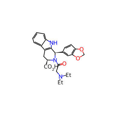 CCN(CC)CC(=O)N1[C@H](c2ccc3c(c2)OCO3)c2[nH]c3ccccc3c2C[C@@H]1C(=O)O